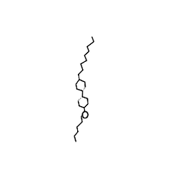 CCCCCCCCC[C@H]1CC[C@H]([C@H]2CC[C@H](OCCCCCC)CC2)CC1